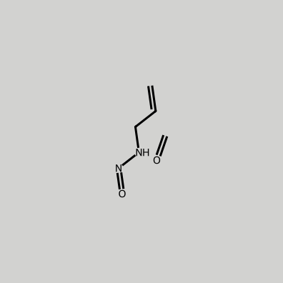 C=CCNN=O.C=O